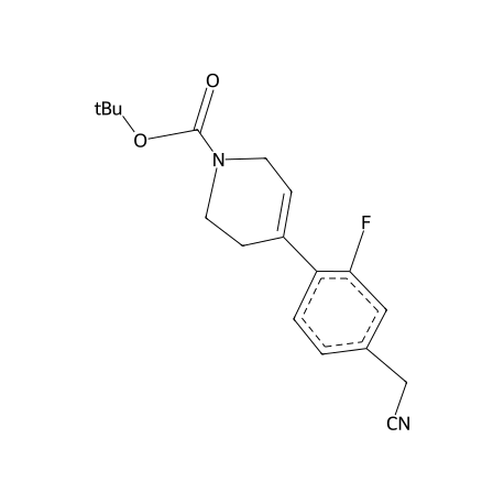 CC(C)(C)OC(=O)N1CC=C(c2ccc(CC#N)cc2F)CC1